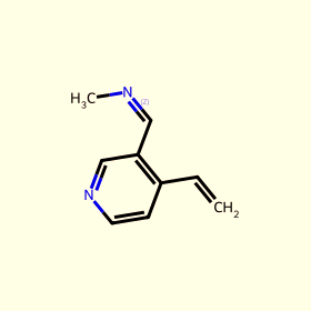 C=Cc1ccncc1/C=N\C